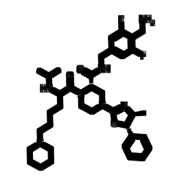 CC(C)NC(CCCCN1CCCCC1)C(=O)N1CCN(C2=N[C@@H](C)[C@H](c3ccccc3)O2)C[C@H]1C(=O)NCc1cc(F)c(CN)c(F)c1